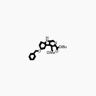 COCc1c(C(=O)OCC(C)C)ncc2[nH]c3ccc(OCc4ccccc4)cc3c12